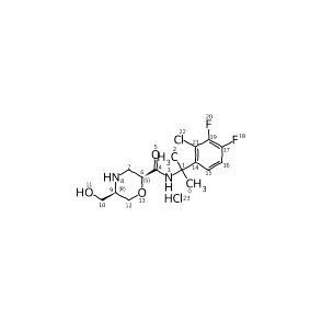 CC(C)(NC(=O)[C@@H]1CN[C@H](CO)CO1)c1ccc(F)c(F)c1Cl.Cl